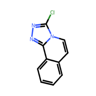 Clc1nnc2c3ccccc3ccn12